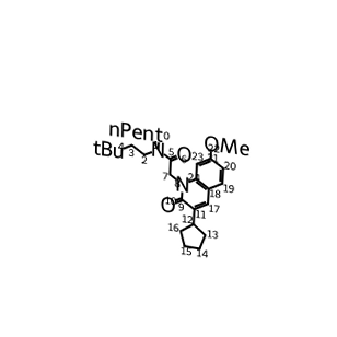 CCCCCN(CCC(C)(C)C)C(=O)Cn1c(=O)c(C2CCCC2)cc2ccc(OC)cc21